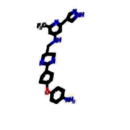 Nc1ccc(Oc2ccc(-c3ncc(CNc4cc(-c5cn[nH]c5)nc(C(F)(F)F)c4)cn3)cc2)cc1